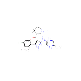 COc1cc(F)cc(OC[C@@H]2CNCCC2(C)C)c1-c1cc(Nc2cnc(C#N)cn2)n[nH]1